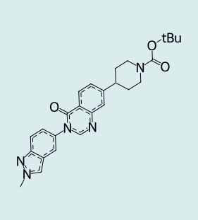 Cn1cc2cc(-n3cnc4cc(C5CCN(C(=O)OC(C)(C)C)CC5)ccc4c3=O)ccc2n1